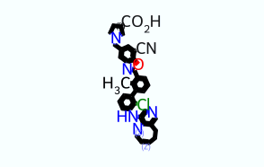 Cc1c(-c2nc3cc(CN4CC[C@@H](C(=O)O)C4)cc(C#N)c3o2)cccc1-c1cccc(Nc2cncc3c2/N=C\C=C/CC3)c1Cl